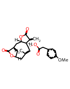 C=C1C(=O)O[C@H]2CC3=C[C@@H](C/C(C)=C/[C@@H](OC(=O)Cc4ccc(OC)cc4)[C@H]12)OC3=O